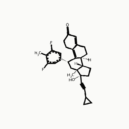 Cc1c(F)cc([C@H]2C[C@@]3(C)[C@@H](CC[C@@]3(O)C#CC3CC3)[C@@H]3CCC4=CC(=O)CCC4=C32)cc1F